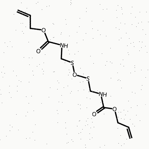 C=CCOC(=O)NCSOSCNC(=O)OCC=C